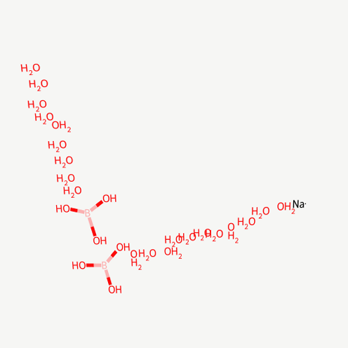 O.O.O.O.O.O.O.O.O.O.O.O.O.O.O.O.O.O.O.O.OB(O)O.OB(O)O.[Na]